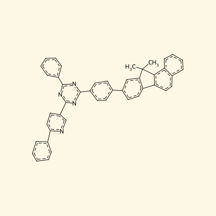 CC1(C)c2cc(-c3ccc(-c4nc(-c5ccccc5)nc(-c5ccc(-c6ccccc6)nc5)n4)cc3)ccc2-c2ccc3ccccc3c21